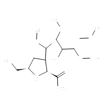 CCCCOCC(O[C@@]1(C(C)OCCCC)C[C@H](CO)N[C@@H]1C(=O)OC)[C@H](COCCCC)OCCCC